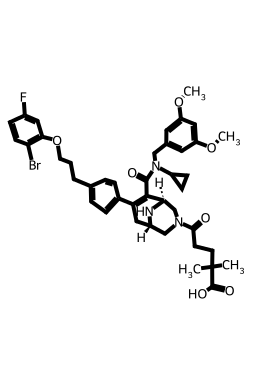 COc1cc(CN(C(=O)C2=C(c3ccc(CCCOc4cc(F)ccc4Br)cc3)C[C@H]3CN(C(=O)CCC(C)(C)C(=O)O)C[C@H]2N3)C2CC2)cc(OC)c1